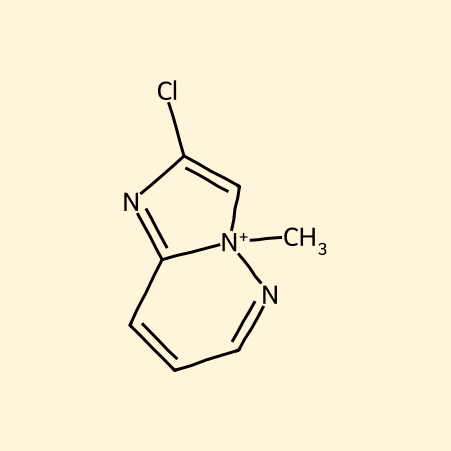 C[N+]12C=C(Cl)N=C1C=CC=N2